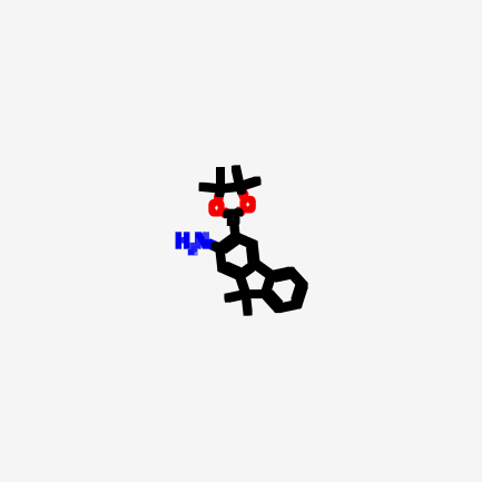 CC1(C)c2ccccc2-c2cc(B3OC(C)(C)C(C)(C)O3)c(N)cc21